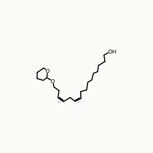 OCCCCCCCCC/C=C\C/C=C\CCOC1CCCCO1